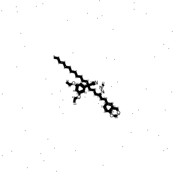 CCCCCCCCCCCCC(C#N)(CCCC(CCc1ccc2c(c1)COCO2)N=NC)c1cc(OCC)cc(OCC)c1